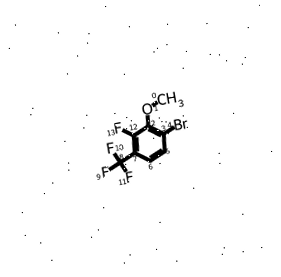 COc1c(Br)ccc(C(F)(F)F)c1F